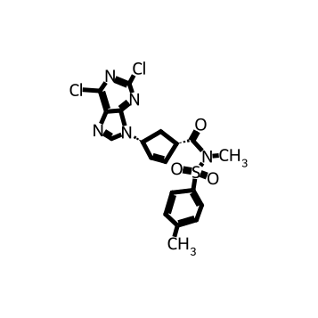 Cc1ccc(S(=O)(=O)N(C)C(=O)[C@@H]2C=C[C@H](n3cnc4c(Cl)nc(Cl)nc43)C2)cc1